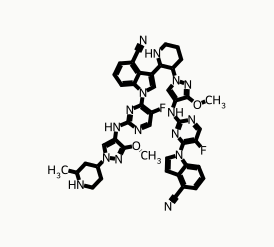 COc1nn(C2CCNC(C)C2)cc1Nc1ncc(F)c(-n2cc(C3NCCCC3n3cc(Nc4ncc(F)c(-n5ccc6c(C#N)cccc65)n4)c(OC)n3)c3c(C#N)cccc32)n1